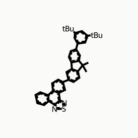 CC(C)(C)c1cc(-c2ccc3c(c2)C(C)(C)c2ccc(-c4ccc5c6ccccc6c6nsnc6c5c4)cc2-3)cc(C(C)(C)C)c1